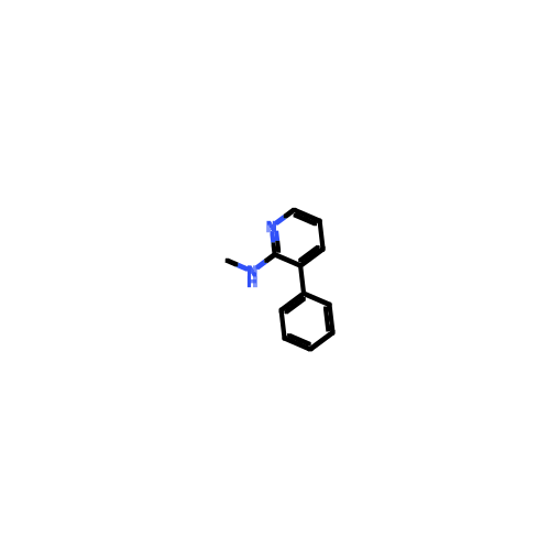 CNc1ncccc1-c1ccccc1